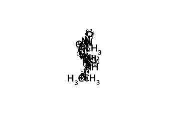 Cc1nn(-c2ccccc2)nc1C(=O)N1CCN(Cc2nc(NCCCN(C)C)c3ccccc3n2)CC1